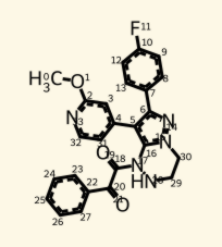 COc1cc(-c2c(-c3ccc(F)cc3)nn3c2N(C(=O)C(=O)c2ccccc2)NCC3)ccn1